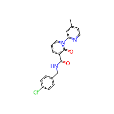 Cc1ccnc(-n2cccc(C(=O)NCc3ccc(Cl)cc3)c2=O)c1